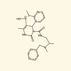 CSc1ncccc1C1C(C(=O)O)=C(C)NC(=O)N1C(=O)NCC(C)N(C)Cc1ccccc1